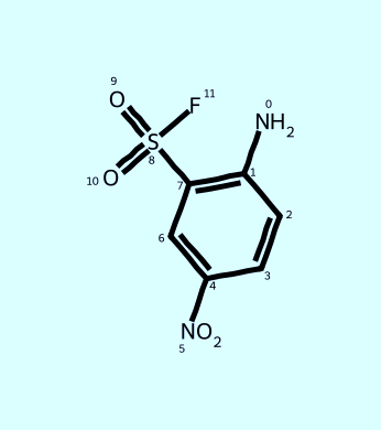 Nc1ccc([N+](=O)[O-])cc1S(=O)(=O)F